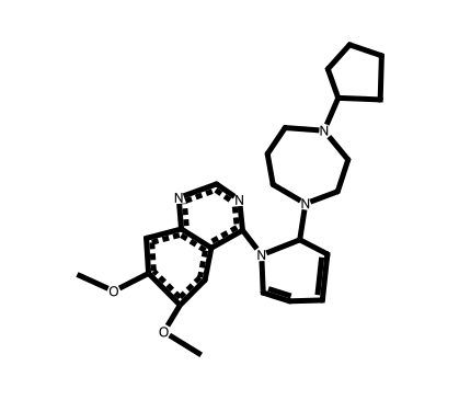 COc1cc2ncnc(N3C=[C]C=CC3N3CCCN(C4CCCC4)CC3)c2cc1OC